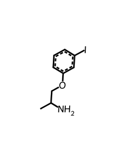 CC(N)COc1cccc(I)c1